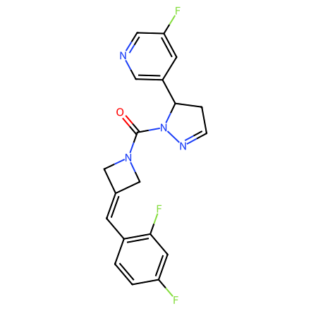 O=C(N1CC(=Cc2ccc(F)cc2F)C1)N1N=CCC1c1cncc(F)c1